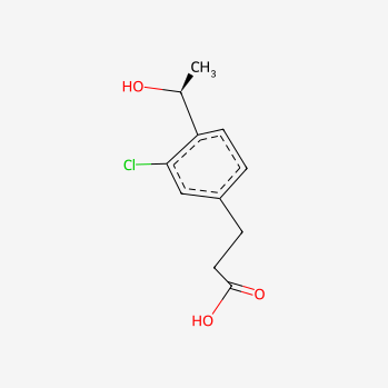 C[C@H](O)c1ccc(CCC(=O)O)cc1Cl